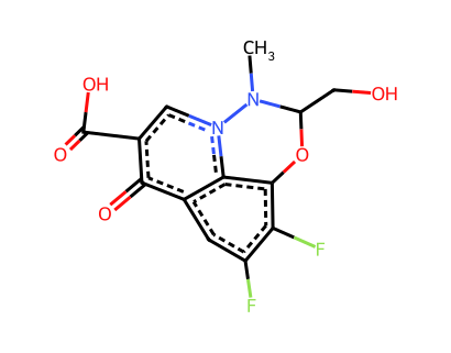 CN1C(CO)Oc2c(F)c(F)cc3c(=O)c(C(=O)O)cn1c23